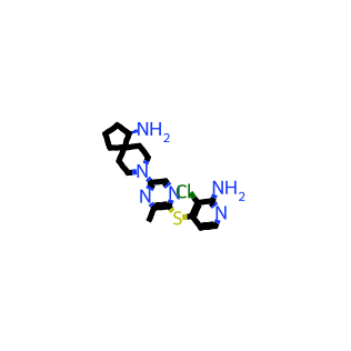 Cc1nc(N2CCC3(CCC[C@H]3N)CC2)cnc1Sc1ccnc(N)c1Cl